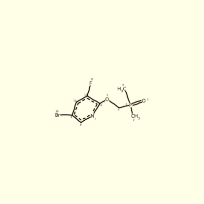 CP(C)(=O)COc1ncc(Br)cc1F